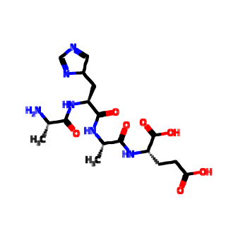 C[C@H](N)C(=O)N[C@@H](CC1C=NC=N1)C(=O)N[C@@H](C)C(=O)N[C@@H](CCC(=O)O)C(=O)O